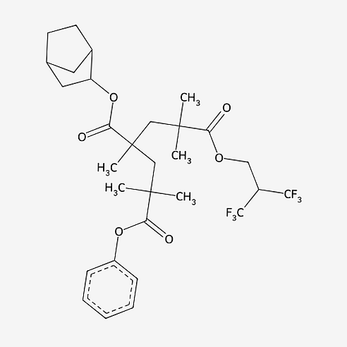 CC(C)(CC(C)(CC(C)(C)C(=O)Oc1ccccc1)C(=O)OC1CC2CCC1C2)C(=O)OCC(C(F)(F)F)C(F)(F)F